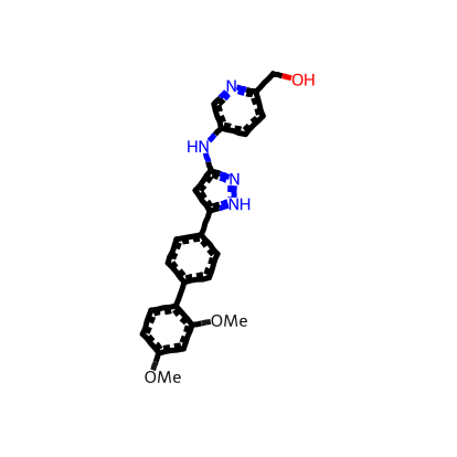 COc1ccc(-c2ccc(-c3cc(Nc4ccc(CO)nc4)n[nH]3)cc2)c(OC)c1